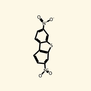 O=[N+]([O-])c1ccc2c(c1)sc1cc([N+](=O)[O-])ccc12